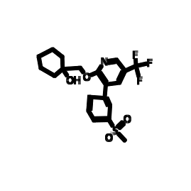 CS(=O)(=O)c1cccc(-c2cc(C(F)(F)F)cnc2OCC2(O)CCCCC2)c1